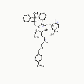 C/C=C(/C)[C@@H](C/C=C(\C)[C@@H](CC(C)(C)[Si](O)(c1ccccc1)c1ccccc1)[C@H](OCCCC)C(O)C/C=C(/C)COCc1ccc(OC)cc1)O[Si](C)(C)C(C)(C)C